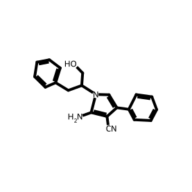 N#Cc1c(-c2ccccc2)cn(C(CO)Cc2ccccc2)c1N